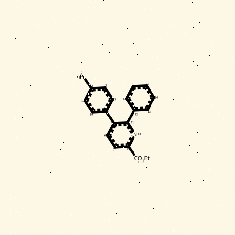 CCCc1ccc(-c2ccc(C(=O)OCC)nc2-c2ccccc2)cc1